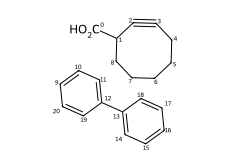 O=C(O)C1C#CCCCCC1.c1ccc(-c2ccccc2)cc1